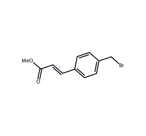 COC(=O)/C=C/c1ccc(CBr)cc1